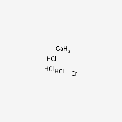 Cl.Cl.Cl.[Cr].[GaH3]